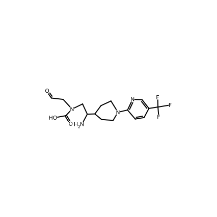 NC(CN(CC=O)C(=O)O)C1CCN(c2ccc(C(F)(F)F)cn2)CC1